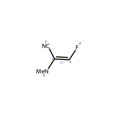 CN/C(C#N)=C/F